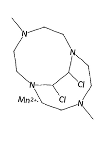 CN1CCN2CCN(C)CCN(CC1)C(Cl)C2Cl.[Mn+2]